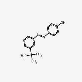 CC(C)(C)c1cccc(N=Nc2ccc(O)cc2)c1